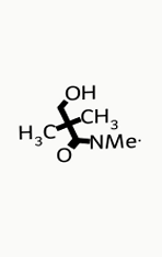 C[N]C(=O)C(C)(C)CO